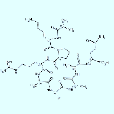 CC(C)[C@H](NC(=O)[C@H](C)NC(=O)[C@H](CCCNC(=N)N)NC(=O)[C@@H]1CCCN1C(=O)[C@H](CCCCN)NC(=O)[C@H](C)N)C(=O)N[C@@H](C)C(=O)N[C@@H](C)C(=O)N[C@@H](CCC(N)=O)C(=O)O